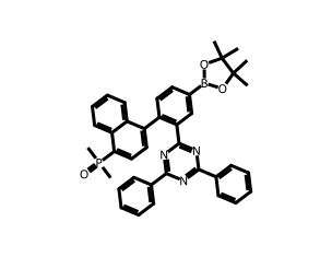 CC1(C)OB(c2ccc(-c3ccc(P(C)(C)=O)c4ccccc34)c(-c3nc(-c4ccccc4)nc(-c4ccccc4)n3)c2)OC1(C)C